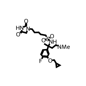 CNCCC(C)(NS(=O)(=O)CCCCCN1CC(=O)NC1=O)c1ccc(F)c(OCC2CC2)c1